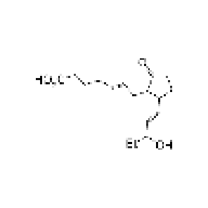 CCC(O)C=CC1CCC(=O)C1CC=CCCCC(=O)O